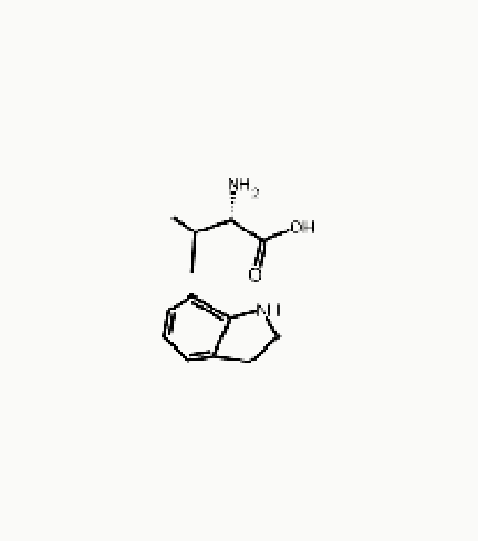 CC(C)[C@H](N)C(=O)O.c1ccc2c(c1)CCN2